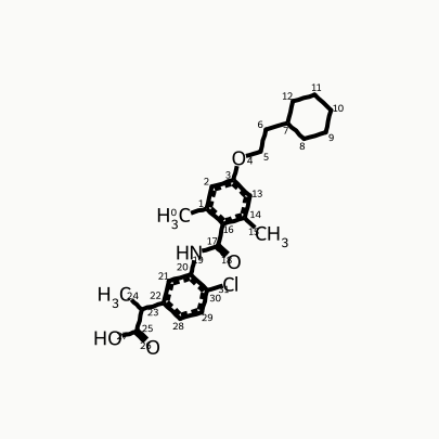 Cc1cc(OCCC2CCCCC2)cc(C)c1C(=O)Nc1cc(C(C)C(=O)O)ccc1Cl